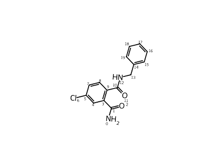 NC(=O)c1cc(Cl)ccc1C(=O)NCc1ccccc1